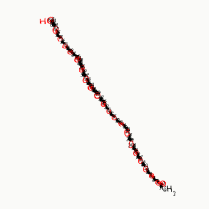 C=CC(=O)OCCCOCCCOCCCOCCCOCCCOCCCOCCCOCCCOCCCOCCCOCCCOCCCOCCCOCCCOCCCOCCCOCCCOCCCOCCCOCCCO